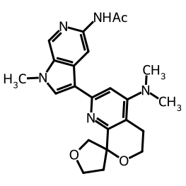 CC(=O)Nc1cc2c(-c3cc(N(C)C)c4c(n3)C3(CCOC3)OCC4)cn(C)c2cn1